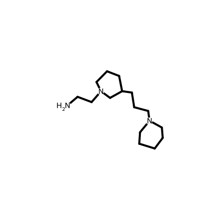 NCCN1CCCC(CCCN2CCCCC2)C1